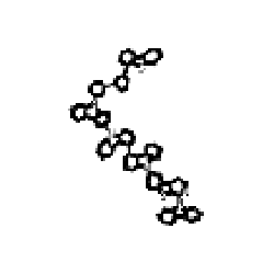 c1cc(-c2cccc(-n3c4ccccc4c4cc(-n5c6ccccc6c6c(-c7cccc8c7c7ccccc7n8-c7ccc8sc9c(-n%10c%11ccccc%11c%11ccccc%11%10)nccc9c8c7)cccc65)ccc43)c2)cc(-c2cccc3c2sc2ccccc23)c1